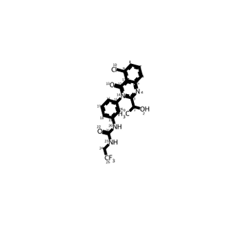 CC(O)c1nc2cccc(Cl)c2c(=O)n1-c1cccc(NC(=O)NCC(F)(F)F)c1